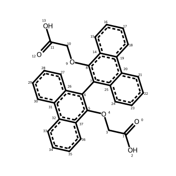 O=C(O)COc1c(-c2c(OCC(=O)O)c3ccccc3c3ccccc23)c2ccccc2c2ccccc12